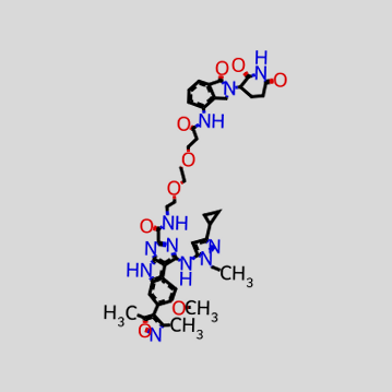 CCn1nc(C2CC2)cc1Nc1nc(C(=O)NCCOCCOCCC(=O)Nc2cccc3c2CN(C2CCC(=O)NC2=O)C3=O)nc2[nH]c3cc(-c4c(C)noc4C)c(OC)cc3c12